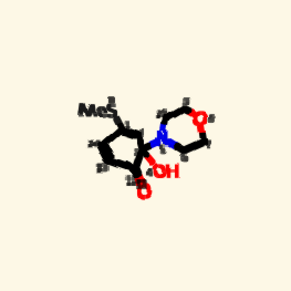 CSC1=CC(O)(N2CCOCC2)C(=O)C=C1